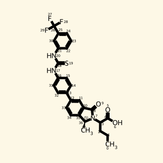 CCCC(C(=O)O)N1C(=O)c2cc(-c3ccc(NC(=S)Nc4cccc(C(F)(F)F)c4)cc3)ccc2[C@@H]1C